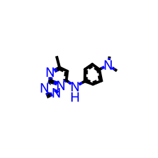 Cc1cc(Nc2ccc(N(C)C)cc2)n2ncnc2n1